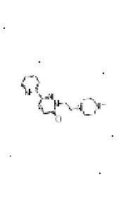 CN1CCN(CCn2nc(-c3ccccn3)ccc2=O)CC1